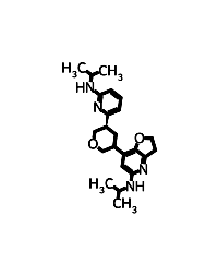 CC(C)Nc1cccc([C@@H]2COCC(c3cc(NC(C)C)nc4c3OCC4)C2)n1